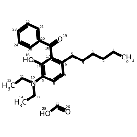 CCCCCCc1ccc(N(CC)CC)c(O)c1C(=O)c1ccccc1.O=CO